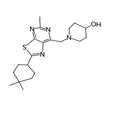 Cc1nc(CN2CCC(O)CC2)c2nc(C3CCC(C)(C)CC3)sc2n1